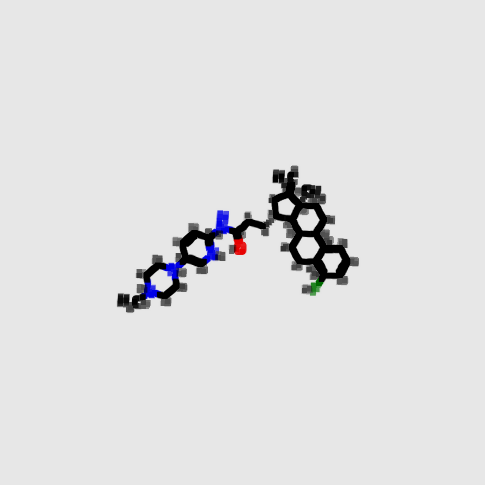 C=C1C[C@@H](CCC(=O)Nc2ccc(N3CCN(C)CC3)cn2)C2C3CCc4c(F)cccc4C3CC[C@]12C